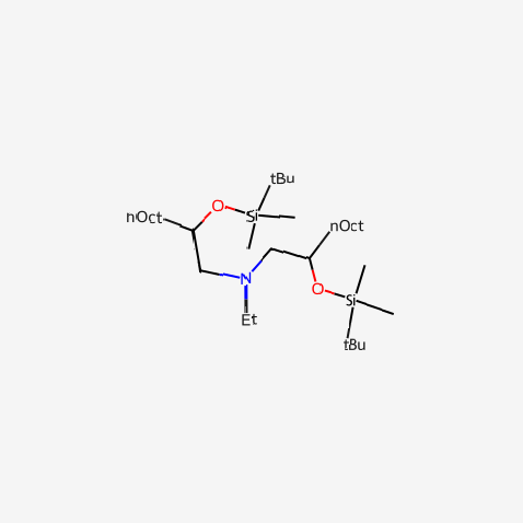 CCCCCCCCC(CN(CC)CC(CCCCCCCC)O[Si](C)(C)C(C)(C)C)O[Si](C)(C)C(C)(C)C